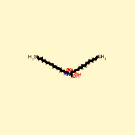 CCCCCCCCCCCCCCCCCC(=O)NC(CO)C(O)C(O)CCCCCCCCCCCCCC